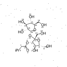 CC(C)CC(=O)O[C@H]1[C@H](O)[C@@H](CO)O[C@@]1(CO)O[C@H]1O[C@H](CO)[C@@H](O)[C@H](O)[C@H]1O